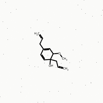 C=CCC1=CC(OC)C(O)(CC=C)C=C1